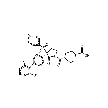 O=C1N(C(=O)[C@H]2CC[C@H](C(=O)O)CC2)CC[C@]1(c1ccc(-c2c(F)cccc2F)cc1)S(=O)(=O)c1ccc(F)cc1